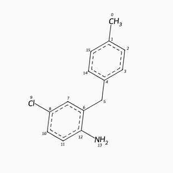 Cc1ccc(Cc2cc(Cl)ccc2N)cc1